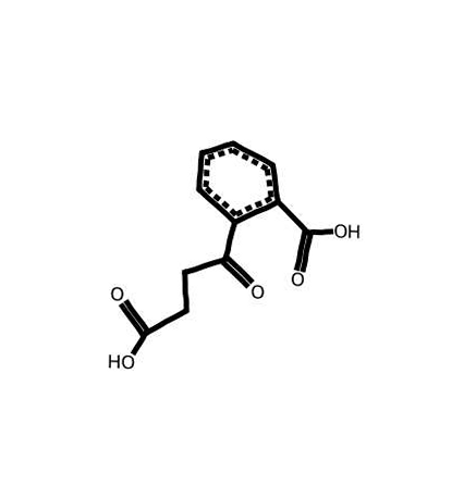 O=C(O)CCC(=O)c1ccccc1C(=O)O